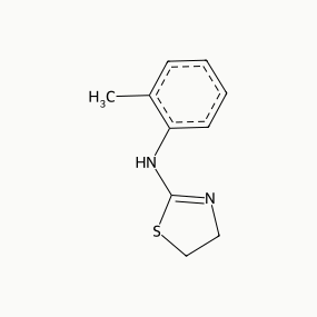 Cc1ccccc1NC1=NCCS1